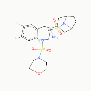 N[C@H](Cc1cc(F)c(F)cc1F)C1CC2CCC(C1)N2S(=O)(=O)CCNS(=O)(=O)N1CCOCC1